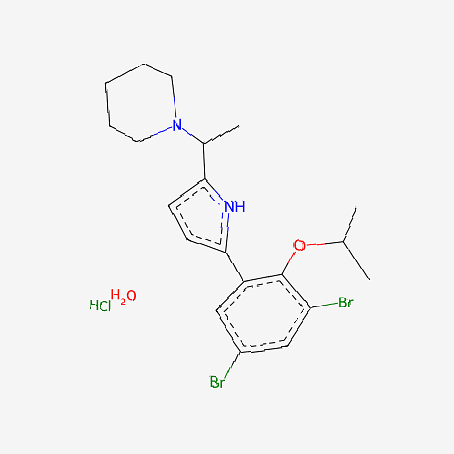 CC(C)Oc1c(Br)cc(Br)cc1-c1ccc(C(C)N2CCCCC2)[nH]1.Cl.O